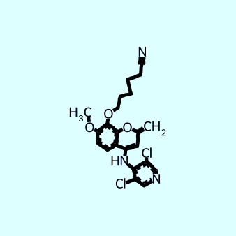 C=C1C=C(Nc2c(Cl)cncc2Cl)c2ccc(OC)c(OCCCCCC#N)c2O1